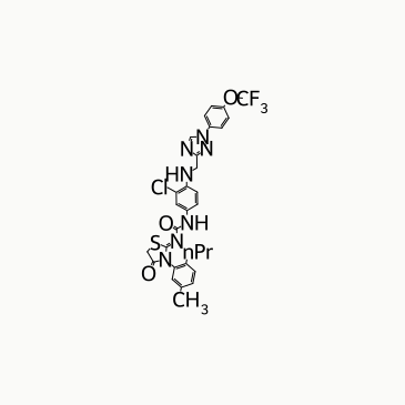 CCCc1ccc(C)cc1N1C(=O)CSC1=NC(=O)Nc1ccc(NCc2ncn(-c3ccc(OC(F)(F)F)cc3)n2)c(Cl)c1